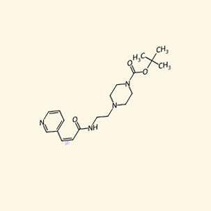 CC(C)(C)OC(=O)N1CCN(CCNC(=O)/C=C\c2cccnc2)CC1